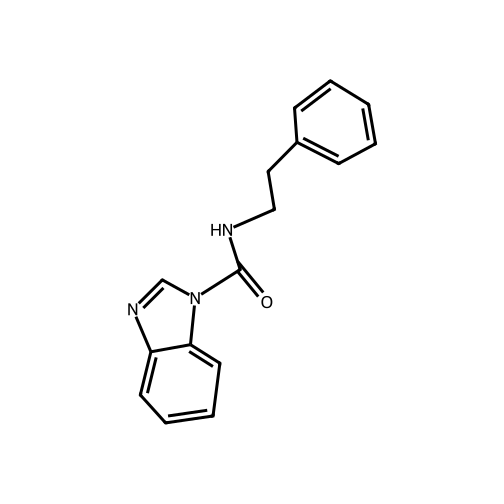 O=C(NCCc1ccccc1)n1cnc2ccccc21